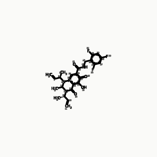 C=C[C@@H](C)N1C(C)N([C@@H](C)C=C)C(=O)c2c(O)c(=O)c(C(=O)NCc3c(F)cc(F)cc3F)cn21